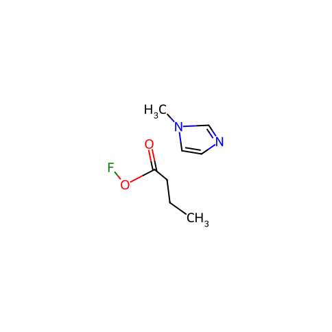 CCCC(=O)OF.Cn1ccnc1